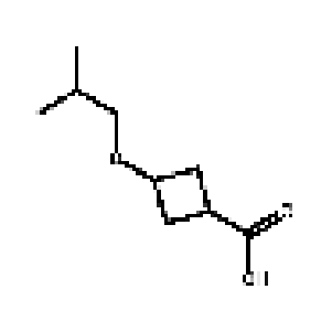 CC(C)COC1CC(C(=O)O)C1